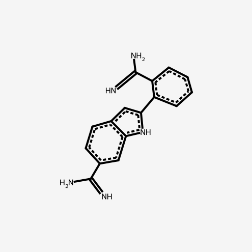 N=C(N)c1ccc2cc(-c3ccccc3C(=N)N)[nH]c2c1